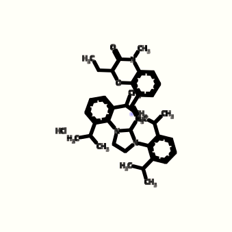 CCC1Oc2c(/[CH]=[Ru]/[CH]3N(c4c(C(C)C)cccc4C(C)C)CCN3c3c(C(C)C)cccc3C(C)C)cccc2N(C)C1=O.Cl